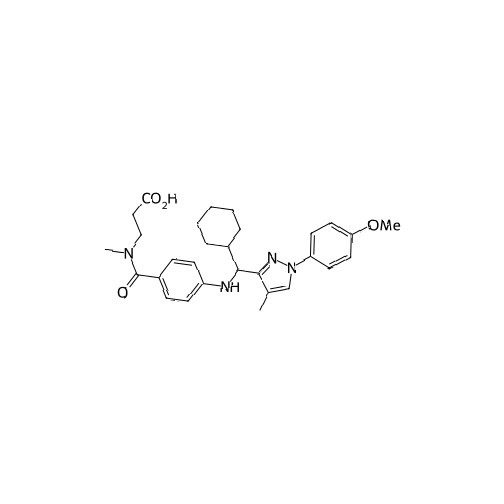 COc1ccc(-n2cc(C)c(C(Nc3ccc(C(=O)N(C)CCC(=O)O)cc3)C3CCCCC3)n2)cc1